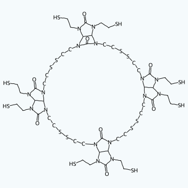 O=C1N(CCS)C2C(N1CCS)N1CCSSCCN3C(=O)N(CCS)C4C3N(CCSSCCN3C(=O)N(CCSSCCN5C(=O)N(CCS)C6C5N(CCSSCCN2C1=O)C(=O)N6CCS)C1C3N(CCS)C(=O)N1CCS)C(=O)N4CCS